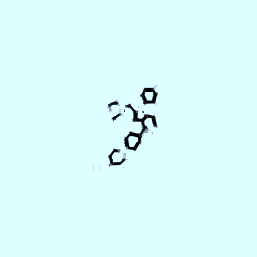 OC1CCN(c2ccc(-c3nccc4c3cc(CN3CCOCC3)n4-c3ccccc3)cc2)CC1